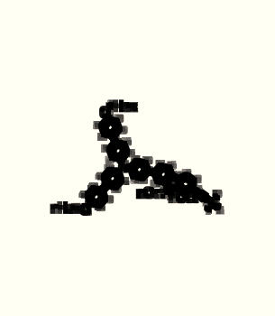 CCCCCCCCC1(CCCCCCCC)c2cc(C#C[Si](C)(C)C)ccc2-c2ccc(-c3ccc(N(c4ccc(-c5ccc(OCCCCCC)cc5)cc4)c4ccc(-c5ccc(OCCCCCC)cc5)cc4)cc3)cc21